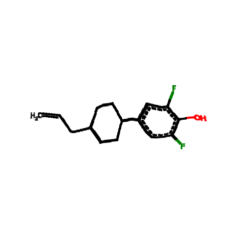 C=CCC1CCC(c2cc(F)c(O)c(F)c2)CC1